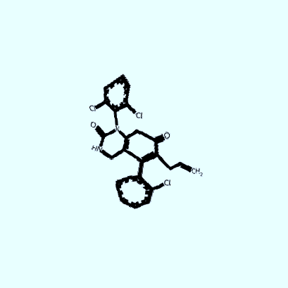 C=CCC1=C(c2ccccc2Cl)C2=C(CC1=O)N(c1c(Cl)cccc1Cl)C(=O)NC2